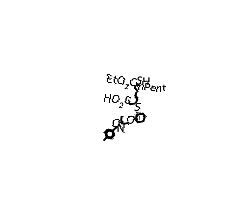 CCCCCC(S)(CCCCC(CC(=O)O)SC[C@@H]1CCCC[C@@H]1OCc1nc(-c2ccc(C)cc2)oc1C)C(=O)OCC